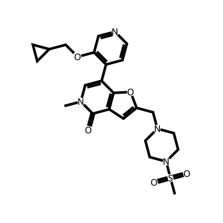 Cn1cc(-c2ccncc2OCC2CC2)c2oc(CN3CCN(S(C)(=O)=O)CC3)cc2c1=O